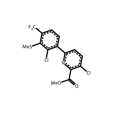 COC(=O)c1nc(-c2ccc(C(F)(F)F)c(SC)c2Cl)ccc1Cl